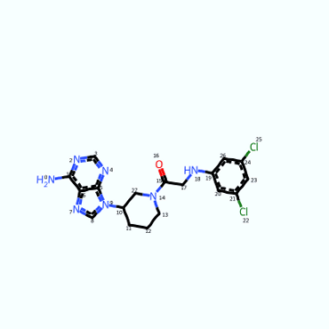 Nc1ncnc2c1ncn2C1CCCN(C(=O)CNc2cc(Cl)cc(Cl)c2)C1